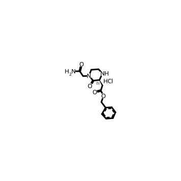 Cl.NC(=O)CN1CCN[C@@H](CC(=O)OCc2ccccc2)C1=O